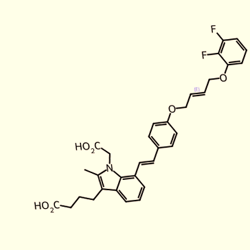 Cc1c(CCCC(=O)O)c2cccc(C=Cc3ccc(OC/C=C/COc4cccc(F)c4F)cc3)c2n1CC(=O)O